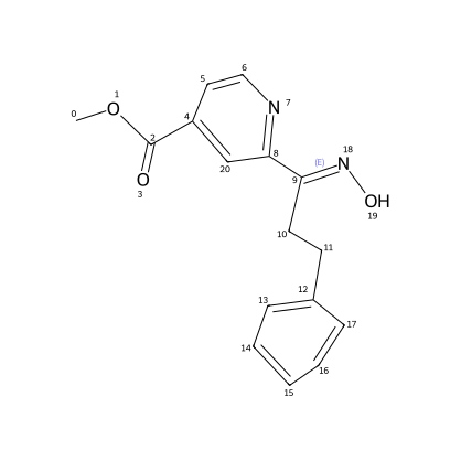 COC(=O)c1ccnc(/C(CCc2ccccc2)=N/O)c1